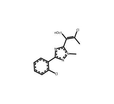 CCCCCCCC/C(=C(/C)Cl)c1nc(-c2ccccc2Cl)nn1C